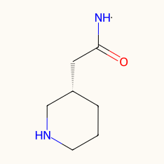 [NH]C(=O)C[C@@H]1CCCNC1